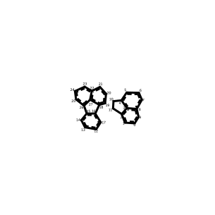 c1cc2c3c(cccc3c1)CC2.c1ccc2c(c1)-c1cccc3cccc-2c13